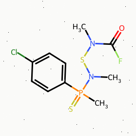 CN(SN(C)P(C)(=S)c1ccc(Cl)cc1)C(=O)F